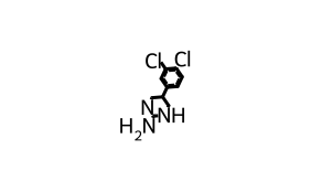 NC1=NCC(c2ccc(Cl)c(Cl)c2)CN1